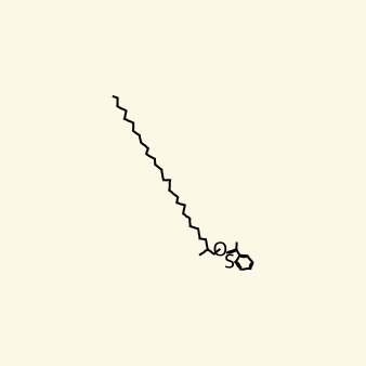 CCCCCCCCCCCCCCCCCCCCCCCCCCC(C)COc1sc2ccccc2c1C